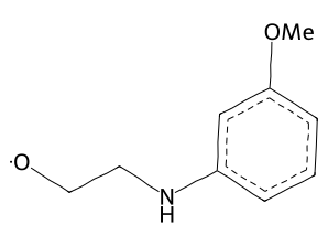 COc1cccc(NCC[O])c1